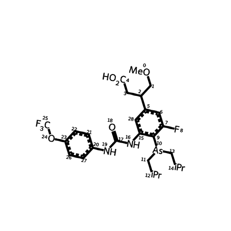 COCC(CC(=O)O)c1cc(F)c([As](CC(C)C)CC(C)C)c(NC(=O)Nc2ccc(OC(F)(F)F)cc2)c1